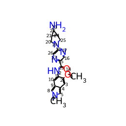 COc1cc2cn(C)cc2cc1NC(=O)c1cnc(N2CC3C(N)C3C2)cn1